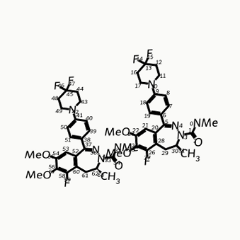 CNC(=O)N1N=C(c2ccc(N3CCC(F)(F)CC3)cc2)c2cc(OC)c(OC)c(F)c2CC1C.CNC(=O)N1N=C(c2ccc(N3CCC(F)(F)CC3)cc2)c2cc(OC)c(OC)c(F)c2C[C@@H]1C